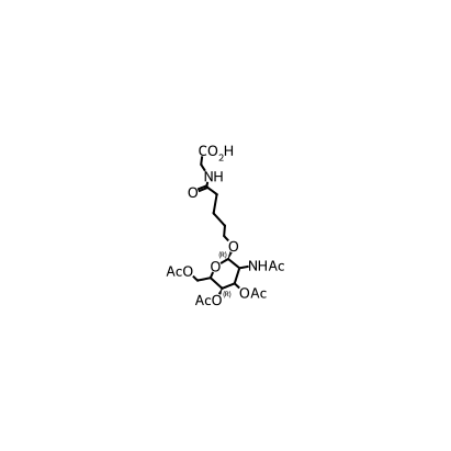 CC(=O)NC1C(OC(C)=O)[C@@H](OC(C)=O)C(COC(C)=O)O[C@H]1OCCCCC(=O)NCC(=O)O